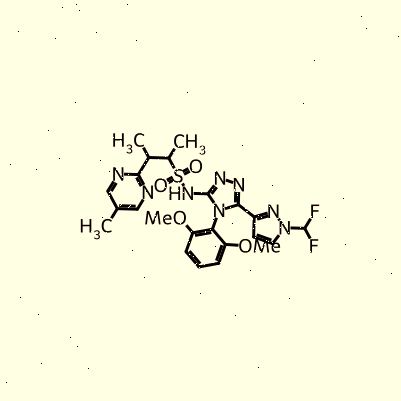 COc1cccc(OC)c1-n1c(NS(=O)(=O)C(C)C(C)c2ncc(C)cn2)nnc1-c1ccn(C(F)F)n1